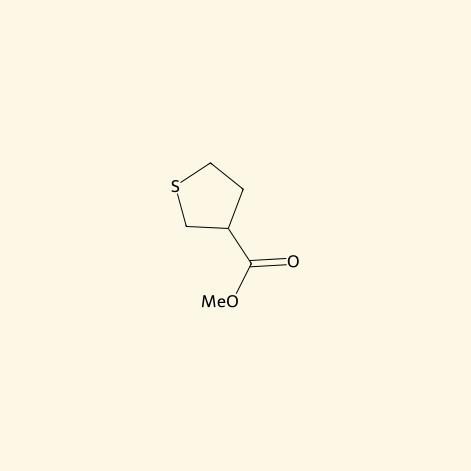 COC(=O)C1CCSC1